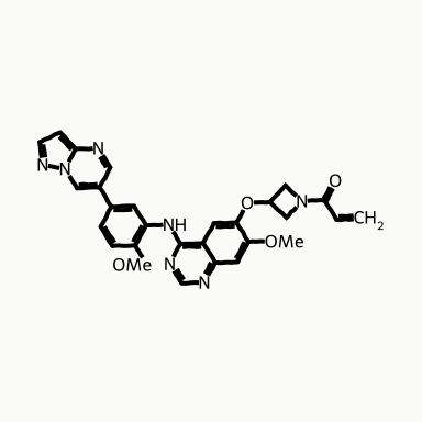 C=CC(=O)N1CC(Oc2cc3c(Nc4cc(-c5cnc6ccnn6c5)ccc4OC)ncnc3cc2OC)C1